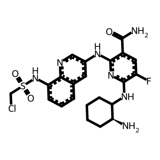 NC(=O)c1cc(F)c(NC2CCCC[C@@H]2N)nc1Nc1cnc2c(NS(=O)(=O)CCl)cccc2c1